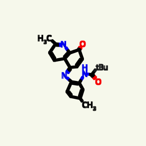 Cc1ccc(N=C2C=CC(=O)c3nc(C)ccc32)c(NC(=O)C(C)(C)C)c1